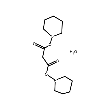 O.O=C(CC(=O)ON1CCCCC1)ON1CCCCC1